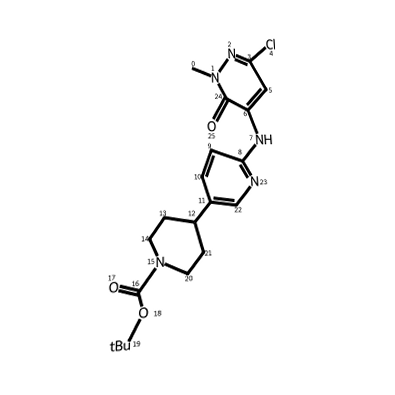 Cn1nc(Cl)cc(Nc2ccc(C3CCN(C(=O)OC(C)(C)C)CC3)cn2)c1=O